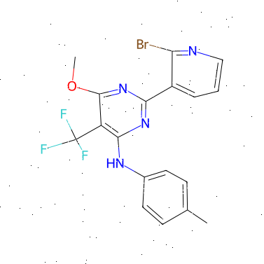 COc1nc(-c2cccnc2Br)nc(Nc2ccc(C)cc2)c1C(F)(F)F